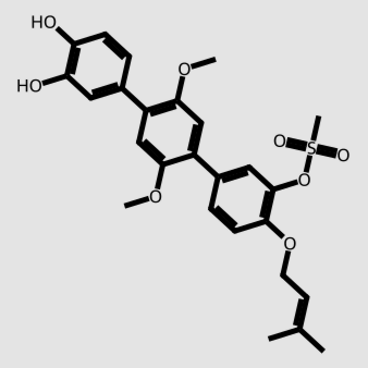 COc1cc(-c2ccc(OCC=C(C)C)c(OS(C)(=O)=O)c2)c(OC)cc1-c1ccc(O)c(O)c1